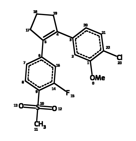 COc1cc(C2=C(c3ccc(S(C)(=O)=O)c(F)c3)CCC2)ccc1Cl